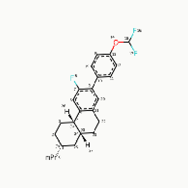 CCC[C@@H]1CC[C@@H]2c3cc(F)c(-c4ccc(OC(F)F)cc4)cc3CC[C@@H]2C1